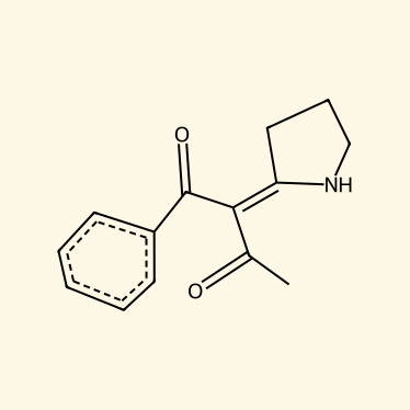 CC(=O)C(C(=O)c1ccccc1)=C1CCCN1